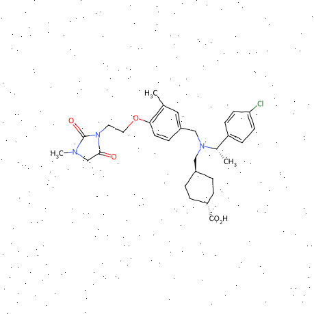 Cc1cc(CN(C[C@H]2CC[C@H](C(=O)O)CC2)[C@@H](C)c2ccc(Cl)cc2)ccc1OCCN1C(=O)CN(C)C1=O